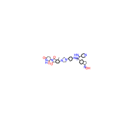 Cc1c(N2CCN(c3ccc(N/C=C(\C(=N)c4ccncc4)c4ccc5c(c4)CC/C5=N\O)cc3)CC2)ccc2c1C(=O)N(C1CCC(=O)NC1=O)C2=O